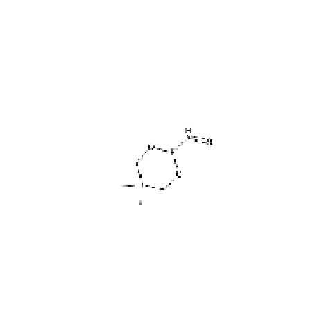 CC1(C)COP([SH]=O)OC1